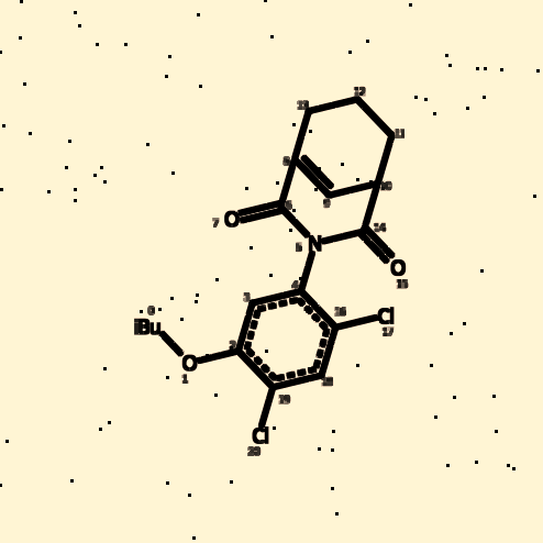 CCC(C)Oc1cc(N2C(=O)C3=CC(CCC3)C2=O)c(Cl)cc1Cl